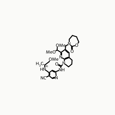 COC[C@@H](C)Nc1cc(NC(=O)N2CCCc3cc(CN4CCCCOC4=O)c(C(OC)OC)nc32)ncc1C#N